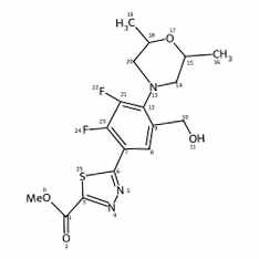 COC(=O)c1nnc(-c2cc(CO)c(N3CC(C)OC(C)C3)c(F)c2F)s1